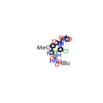 COc1cc2c(cc1-c1cncc(NC(=O)CNC(=O)OC(C)(C)C)c1)-c1c(c(C(=O)N3CCOCC3(C)C)nn1-c1cc(Cl)cc(Cl)c1)CO2